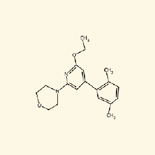 CCOc1cc(-c2cc(C)ccc2C)cc(N2CCOCC2)n1